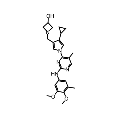 COc1cc(Nc2ncc(C)c(-n3cc(CN4CC(O)C4)c(C4CC4)c3)n2)cc(C)c1OC